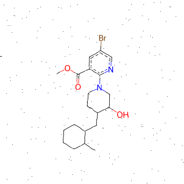 COC(=O)c1cc(Br)cnc1N1CCC(CC2CCCCC2C)C(O)C1